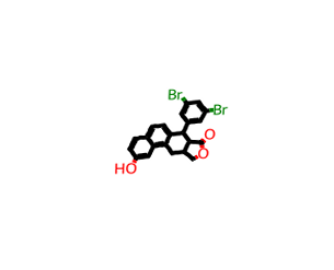 O=C1OCC2Cc3c(ccc4ccc(O)cc34)C(c3cc(Br)cc(Br)c3)C12